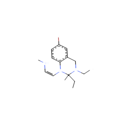 CCN1Cc2cc(Br)ccc2N(/C=C\NC)C1(C)CC